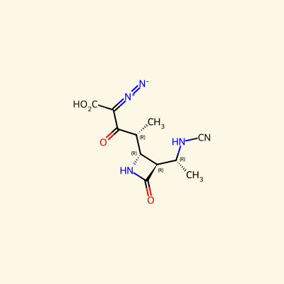 C[C@@H](NC#N)[C@H]1C(=O)N[C@@H]1[C@@H](C)C(=O)C(=[N+]=[N-])C(=O)O